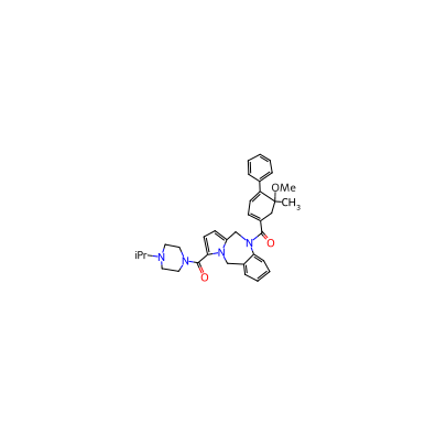 COC1(C)CC(C(=O)N2Cc3ccc(C(=O)N4CCN(C(C)C)CC4)n3Cc3ccccc32)=CC=C1c1ccccc1